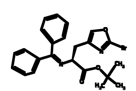 CC(C)(C)OC(=O)[C@H](Cc1coc(Br)n1)N=C(c1ccccc1)c1ccccc1